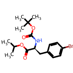 CC(C)OC(=O)[C@H](Cc1ccc(Br)cc1)NC(=O)OC(C)(C)C